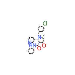 Cc1cc(=O)c(C(=O)Nc2ccccc2)c(-c2cccnc2)n1Cc1ccc(Cl)cc1